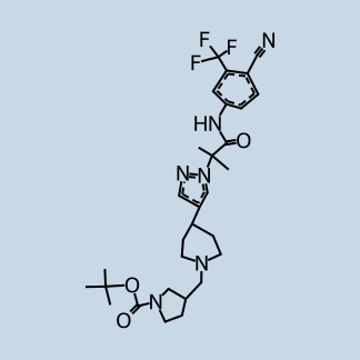 CC(C)(C)OC(=O)N1CCC(CN2CCC(c3cnn(C(C)(C)C(=O)Nc4ccc(C#N)c(C(F)(F)F)c4)c3)CC2)C1